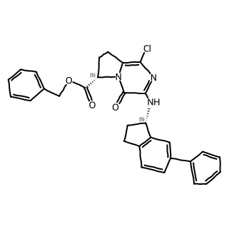 O=C(OCc1ccccc1)[C@@H]1CCc2c(Cl)nc(N[C@H]3CCc4ccc(-c5ccccc5)cc43)c(=O)n21